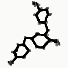 NC1CCC(CC2CCC(N)C(CC3CCC(N)CC3)C2)CC1